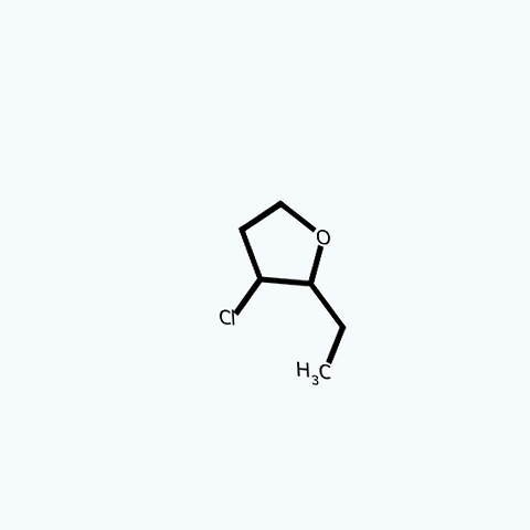 CCC1OCCC1Cl